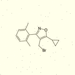 Cc1cccc(C)c1-c1noc(C2CC2)c1CBr